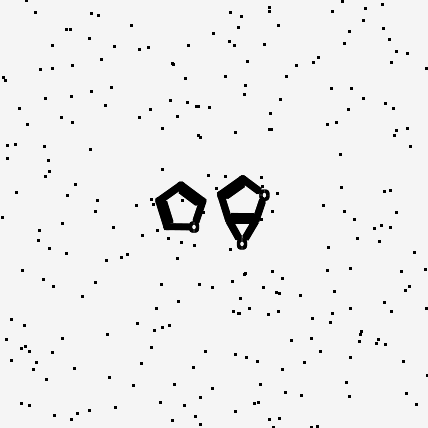 c1cc2c(o1)O2.c1ccoc1